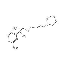 CC(C)(COCCOC[C@H]1COCCO1)c1nccc(C=O)n1